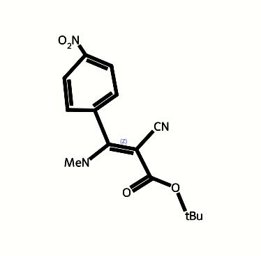 CN/C(=C(/C#N)C(=O)OC(C)(C)C)c1ccc([N+](=O)[O-])cc1